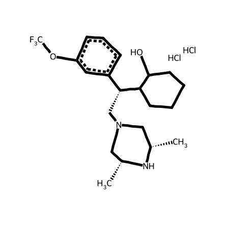 C[C@@H]1CN(C[C@H](c2cccc(OC(F)(F)F)c2)C2CCCCC2O)C[C@H](C)N1.Cl.Cl